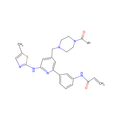 C=CC(=O)Nc1cccc(-c2cc(CN3CCN(C(=O)C(C)C)CC3)cc(Nc3ncc(C)s3)n2)c1